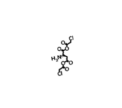 N[C@@H](CC(=O)OC(=O)CCl)C(=O)OC(=O)CCl